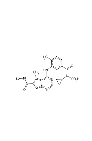 CCNC(=O)c1cn2ncnc(Nc3cc(C(=O)N(C(=O)O)C4CC4)ccc3C)c2c1C